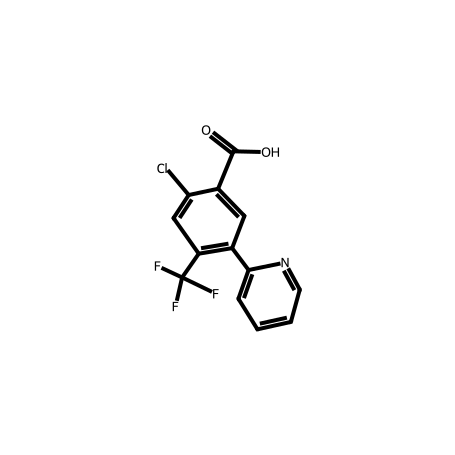 O=C(O)c1cc(-c2ccccn2)c(C(F)(F)F)cc1Cl